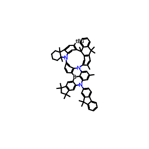 Cc1cc2c3c(c1)N1c4cc5c(cc4C)C(C)(C)c4ccccc4C5(C)c4cc5c(cc4C(C)(C)C)C4(C)CCCCC4(C)N5c4ccc(c1c4)B3c1cc3c(cc1N2c1ccc2c(c1)C(C)(C)c1ccccc1-2)C(C)(C)CC3(C)C